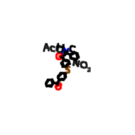 CC(=O)O/N=C(\C(=O)c1ccc(Sc2ccc(C(=O)c3ccccc3)cc2)cc1)c1cc([N+](=O)[O-])ccc1C